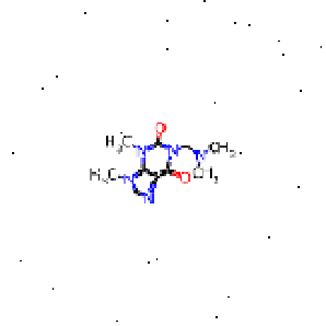 CN(C)Cn1c(=O)c2ncn(C)c2n(C)c1=O